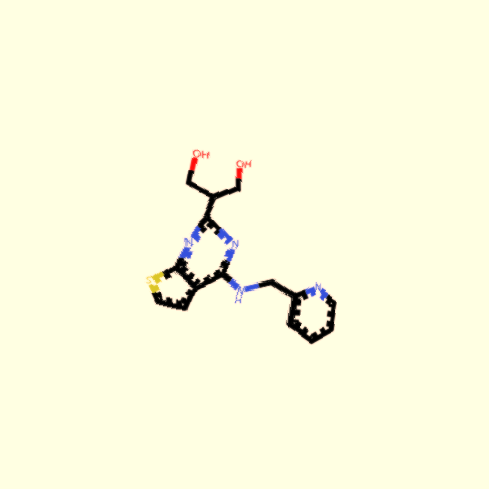 OCC(CO)c1nc(NCc2ccccn2)c2ccsc2n1